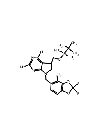 Cc1c(CN2CC(CO[Si](C)(C)C(C)(C)C)c3c(Cl)nc(N)nc32)ccc2c1OC(F)(F)O2